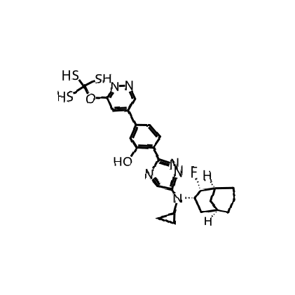 Oc1cc(-c2cnnc(OC(S)(S)S)c2)ccc1-c1ncc(N(C2CC2)[C@H]2C[C@@H]3CCC[C@@H](C3)[C@H]2F)nn1